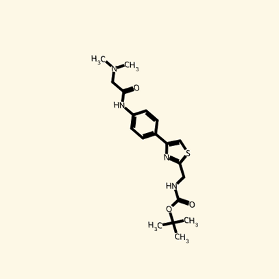 CN(C)CC(=O)Nc1ccc(-c2csc(CNC(=O)OC(C)(C)C)n2)cc1